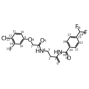 C=C(CCNC(=O)COc1ccc(Cl)c(F)c1)NC(=O)c1ccc(C(F)F)cc1